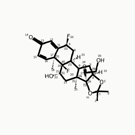 CC1(C)O[C@@H]2CC3[C@@H]4C[C@H](F)C5=CC(=O)C=C[C@]5(C)[C@@]4(F)[C@@H](O)C[C@]3(C)[C@]2(C(=O)CO)O1